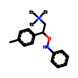 CC[N+](CC)(CC)CC(ONc1ccccc1)c1ccc(C)cc1